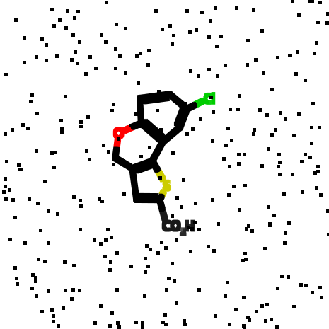 O=C(O)c1cc2c(s1)-c1cc(Cl)ccc1OC2